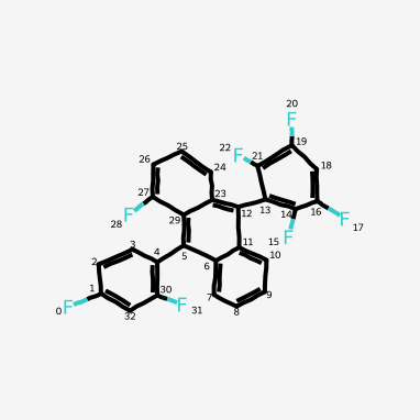 Fc1ccc(-c2c3ccccc3c(-c3c(F)c(F)cc(F)c3F)c3cccc(F)c23)c(F)c1